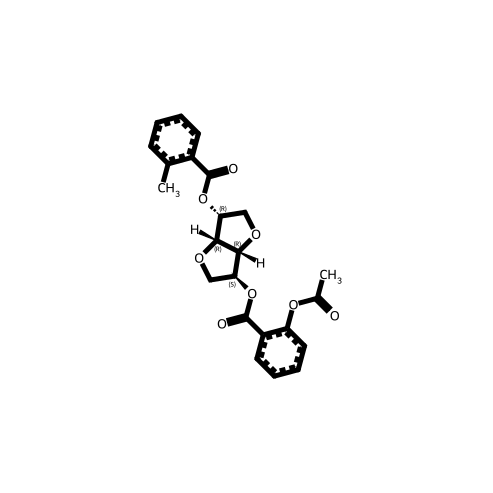 CC(=O)Oc1ccccc1C(=O)O[C@H]1CO[C@H]2[C@@H]1OC[C@H]2OC(=O)c1ccccc1C